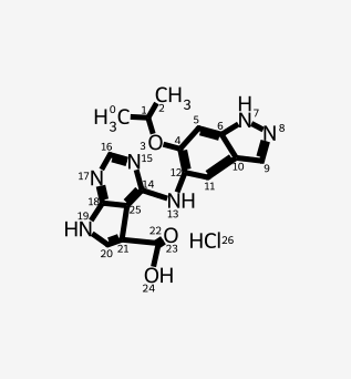 CC(C)Oc1cc2[nH]ncc2cc1Nc1ncnc2[nH]cc(C(=O)O)c12.Cl